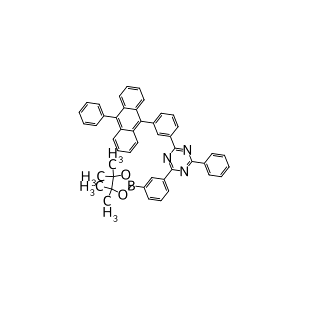 CC1(C)OB(c2cccc(-c3nc(-c4ccccc4)nc(-c4cccc(-c5c6ccccc6c(-c6ccccc6)c6ccccc56)c4)n3)c2)OC1(C)C